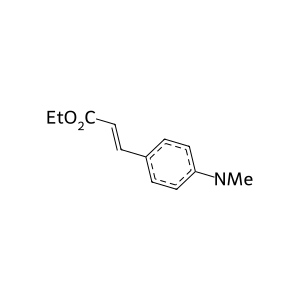 CCOC(=O)/C=C/c1ccc(NC)cc1